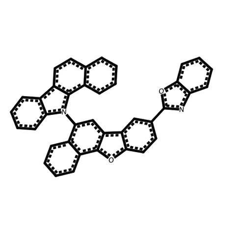 c1ccc2c(c1)ccc1c3ccccc3n(-c3cc4c5cc(-c6nc7ccccc7o6)ccc5oc4c4ccccc34)c21